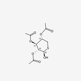 CC(=O)O[C@@H]1[C@@H](OC(C)=O)[C@H](OC(C)=O)CS[C@H]1O